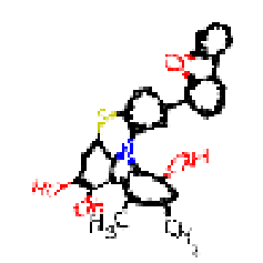 Cc1cc(O)c2c(c1C)c1c3n2-c2cc(-c4cccc5c4oc4ccccc45)ccc2SC3CC(O)=C1O